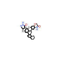 Cc1cc2c(cc1C1=c3ccccc3=c3ccc4c(c3C1)CCCC=4)NC(=O)CO2.Cc1cn[nH]c(=O)c1